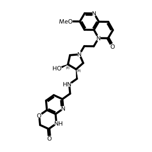 COc1cnc2ccc(=O)n(CCN3C[C@@H](CNCc4ccc5c(n4)NC(=O)CO5)[C@@H](O)C3)c2c1